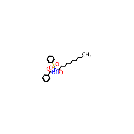 CCCCCCCCCC(=O)N(NC(=O)c1ccccc1)S(=O)(=O)c1ccccc1